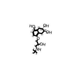 CC(C)(C)NCC(O)COc1ccc(O)c2c1C[C@H](O)[C@@H](O)C2